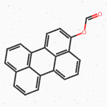 O=COc1ccc2c3cccc4cccc(c5cccc1c52)c43